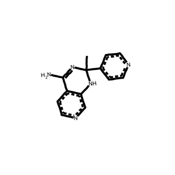 CC1(c2ccncc2)N=C(N)c2ccncc2N1